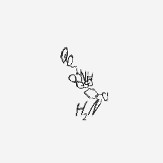 Nc1ccc(S(=O)(=O)NC(=O)CCOC=O)cc1Cl